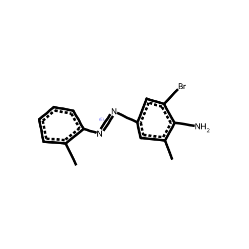 Cc1ccccc1/N=N/c1cc(C)c(N)c(Br)c1